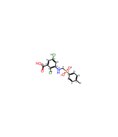 Cc1ccc(S(=O)(=O)CNc2cc(Cl)cc(C(=O)O)c2Cl)cc1